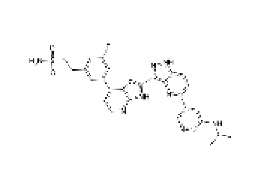 CC(C)Nc1cncc(-c2ccc3[nH]nc(-c4cc5c(-c6cc(F)cc(CCS(N)(=O)=O)c6)ccnc5[nH]4)c3n2)c1